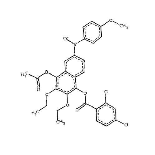 CCOc1c(OCC)c(OC(=O)c2ccc(Cl)cc2Cl)c2ccc([S+]([O-])c3ccc(OC)cc3)cc2c1OC(C)=O